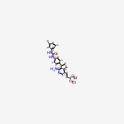 CCOC(/C=C/c1cnc(N)c2c(-c3ccc(NC(=O)Nc4cccc(C)c4)cc3)csc12)OCC